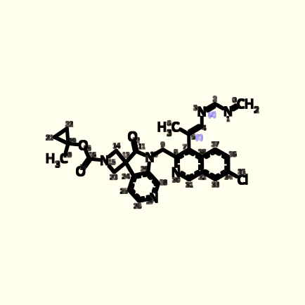 C=N/C=N\C=C(/C)c1c(CN2C(=O)C3(CN(C(=O)OC4(C)CC4)C3)c3ccncc32)ncc2cc(Cl)ccc12